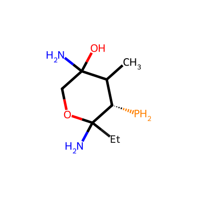 CCC1(N)OCC(N)(O)C(C)[C@@H]1P